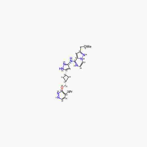 COCc1cc2c(Nc3cc([C@H]4C[C@@H](COc5nnccc5C(C)C)C4)[nH]n3)nccn2n1